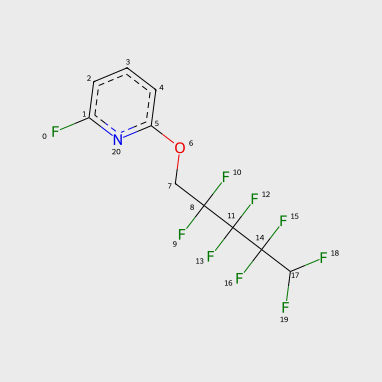 Fc1cccc(OCC(F)(F)C(F)(F)C(F)(F)C(F)F)n1